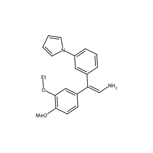 CCOc1cc(C(=CN)c2cccc(-n3cccc3)c2)ccc1OC